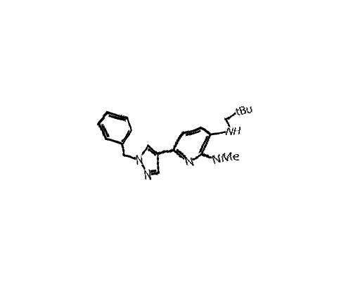 CNc1nc(-c2cnn(Cc3ccccc3)c2)ccc1NCC(C)(C)C